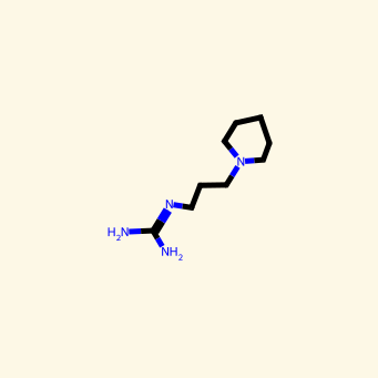 NC(N)=NCCCN1CCCCC1